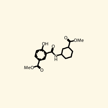 COC(=O)c1ccc(O)c(C(=O)NC2CCCC(C(=O)OC)C2)c1